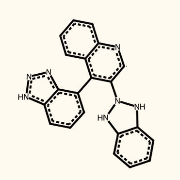 [c]1nc2ccccc2c(-c2cccc3[nH]nnc23)c1N1Nc2ccccc2N1